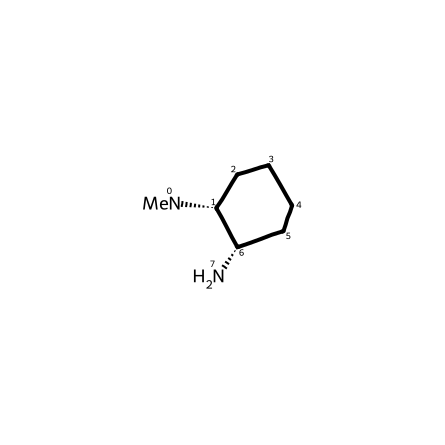 CN[C@@H]1CCCC[C@@H]1N